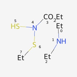 CCNCC.CCOC(=O)N(S)SCC